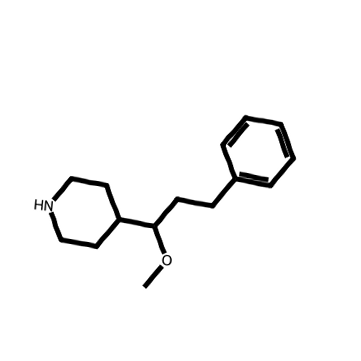 COC(CCc1ccccc1)C1CCNCC1